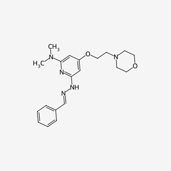 CN(C)c1cc(OCCN2CCOCC2)cc(N/N=C/c2ccccc2)n1